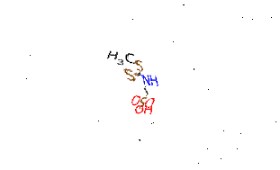 CSC(=S)NCCS(=O)(=O)O